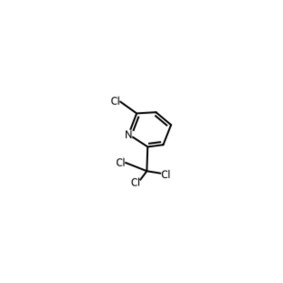 Clc1cccc(C(Cl)(Cl)Cl)n1